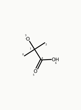 CC(C)([O])C(=O)O